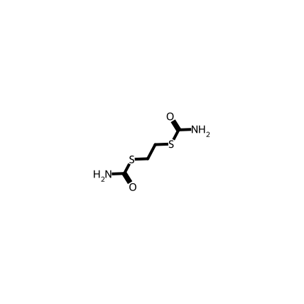 NC(=O)SCCSC(N)=O